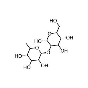 CC1O[C@@H](OC2C(O)[C@@H](O)C(CO)O[C@H]2O)C(O)C(O)[C@@H]1O